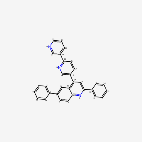 c1ccc(-c2ccc3nc(-c4ccccc4)cc(-c4ccc(-c5cccnc5)nc4)c3c2)cc1